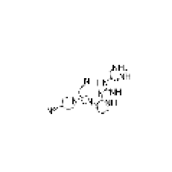 N#CCC1(N2CCC(C#N)CC2)CN(c2ccc[nH]/c2=N\C(=N)N/C(C=N)=C/N)C1